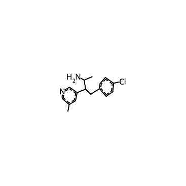 Cc1cncc(C(Cc2ccc(Cl)cc2)C(C)N)c1